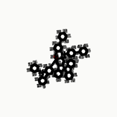 CC1C(c2ccc3c4ccccc4n(-c4ccccc4)c3c2)=CC=C2c3ccc(-c4ccccc4)cc3N(c3ccc(-c4ccccc4)cc3)C3(C)C=C4C(=CC213)c1ccccc1C41c2ccccc2-c2ccccc21